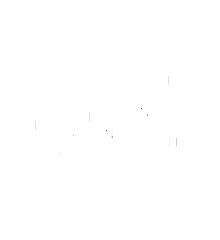 CC1CN(CC(C)(C)C)CCN1C(=O)O